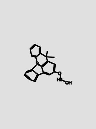 CC1(C)c2ccccc2-n2c3ccccc3c3cc(OBO)cc1c32